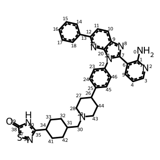 Nc1ncccc1-c1nc2ccc(-c3ccccc3)nc2n1-c1ccc(C2CCN(CC3CCC(c4nsc(=O)[nH]4)CC3)CC2)cc1